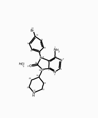 Cl.Nc1ncnc2c1n(-c1ccc(Br)cc1)c(=O)n2C1CCNCC1